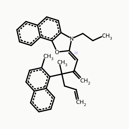 C=CCC(C)(C(=C)/C=C1\Oc2c(ccc3ccccc23)N1CCC)c1c(C)ccc2ccccc12